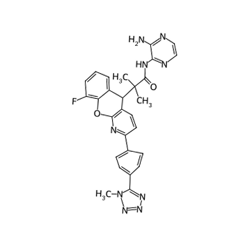 Cn1nnnc1-c1ccc(-c2ccc3c(n2)Oc2c(F)cccc2C3C(C)(C)C(=O)Nc2nccnc2N)cc1